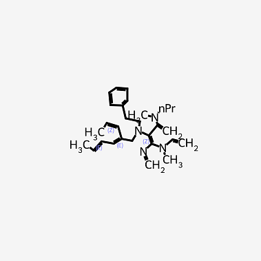 C=CN(C)/C(N=C)=C(\C(=C)N(C)CCC)N(CCc1ccccc1)CC(/C=C\C)=C/C=C/C